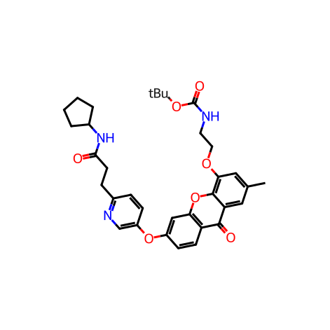 Cc1cc(OCCNC(=O)OC(C)(C)C)c2oc3cc(Oc4ccc(CCC(=O)NC5CCCC5)nc4)ccc3c(=O)c2c1